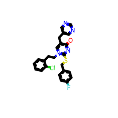 O=c1nc(SCc2ccc(F)cc2)n(CCc2ccccc2Cl)cc1Cc1cncnc1